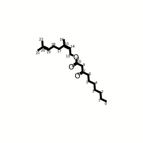 CCCCCCCC(=O)CC(=O)OCC=C(C)CCC=C(C)C